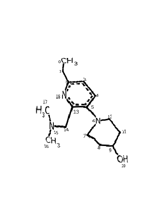 CCc1ccc(N2CCC(O)CC2)c(CN(C)C)n1